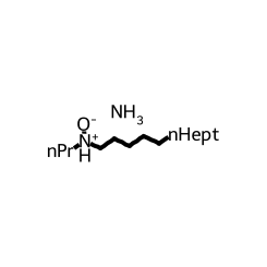 CCCCCCCCCCCC[NH+]([O-])CCC.N